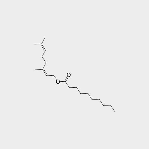 CCCCCCCCCC(=O)OC/C=C(/C)CCC=C(C)C